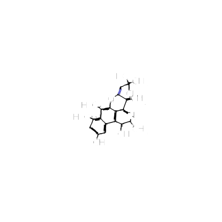 C=C1C2=NC(C)C(C)c3c2c(c(C)c2c(C)cc(C)cc32)O/C1=C/C(C)(C)C